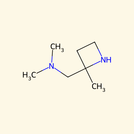 CN(C)CC1(C)CCN1